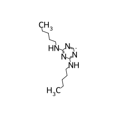 CCCCCNc1n[c]nc(NCCCCC)n1